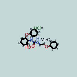 COc1ccccc1OCCNC(=O)N1c2ccccc2Oc2cccc(O)c21.Cl